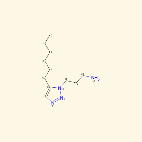 CCCCCCc1cnnn1CCCN